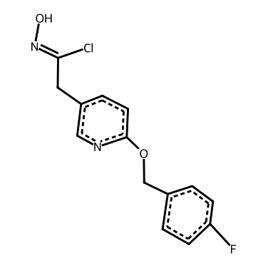 ON=C(Cl)Cc1ccc(OCc2ccc(F)cc2)nc1